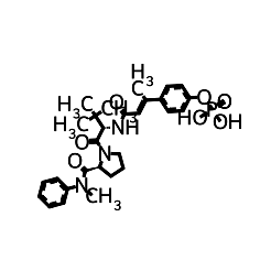 C/C(=C\C(=O)N[C@H](C(=O)N1CCC[C@H]1C(=O)N(C)c1ccccc1)C(C)(C)C)c1ccc(OP(=O)(O)O)cc1